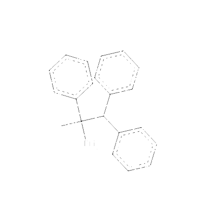 CC(P)(c1ccccc1)C(c1ccccc1)c1ccccc1